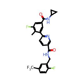 Cc1c(F)cc(C(=O)NC2CC2)cc1-c1ccc(C(=O)NCc2cc(C(F)(F)F)ccc2F)cn1